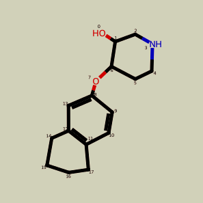 OC1CNCCC1Oc1ccc2c(c1)CCCC2